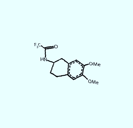 COc1cc2c(cc1OC)CC(NC(=O)C(F)(F)F)CC2